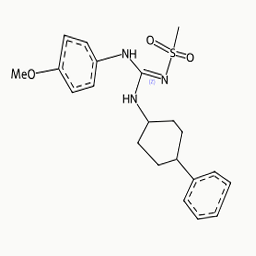 COc1ccc(N/C(=N\S(C)(=O)=O)NC2CCC(c3ccccc3)CC2)cc1